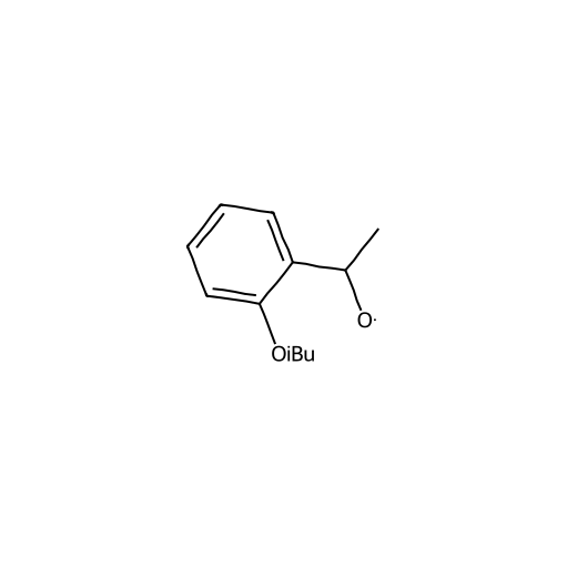 CC(C)COc1ccccc1C(C)[O]